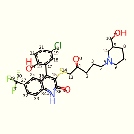 O=C(CCCN1CCCC(CO)C1)CSc1c(-c2cc(Cl)ccc2O)c2cc(C(F)(F)F)ccc2[nH]c1=O